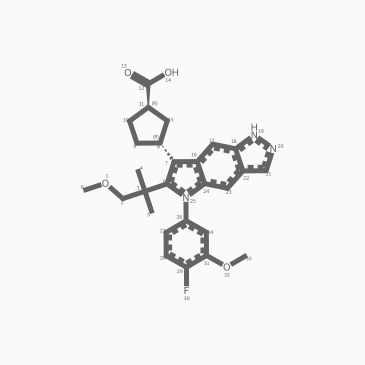 COCC(C)(C)c1c([C@@H]2CC[C@@H](C(=O)O)C2)c2cc3[nH]ncc3cc2n1-c1ccc(F)c(OC)c1